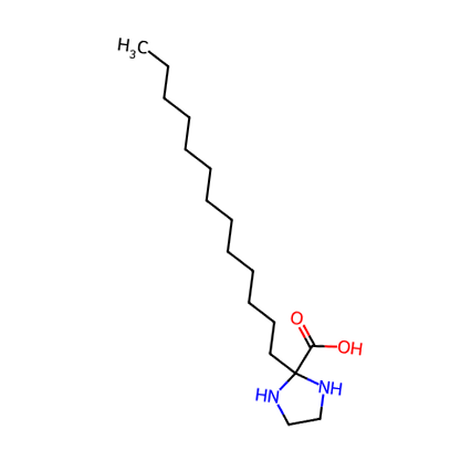 CCCCCCCCCCCCCC1(C(=O)O)NCCN1